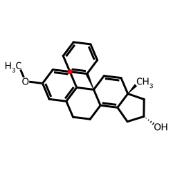 COc1ccc2c(c1)CCC1=C3C[C@@H](O)C[C@@]3(C)C=C[C@]12c1ccccc1